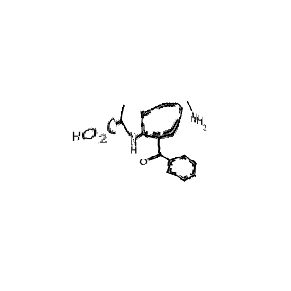 CC(Nc1ccccc1C(=O)c1ccccc1)C(=O)O.CN